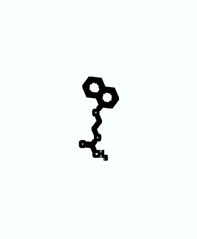 CC(=O)OCCOc1cccc2ccccc12